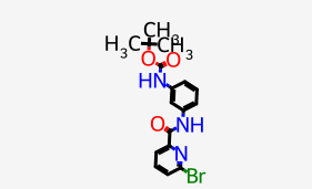 CC(C)(C)OC(=O)Nc1cccc(NC(=O)c2cccc(Br)n2)c1